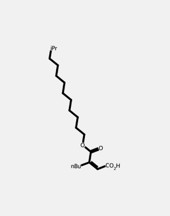 CCCCC(=CC(=O)O)C(=O)OCCCCCCCCCCC(C)C